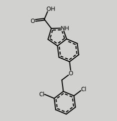 O=C(O)c1cc2cc(OCc3c(Cl)cccc3Cl)ccc2[nH]1